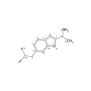 CC(N)c1cc2ccc(CC(F)F)cc2o1